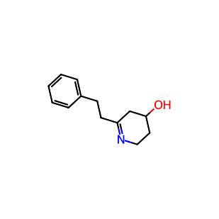 OC1CCN=C(CCc2ccccc2)C1